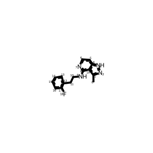 Cc1n[nH]c2ccnc(NCCc3ccccc3F)c12